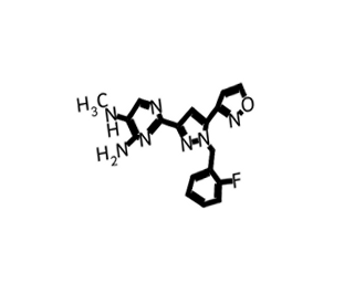 CNc1cnc(-c2cc(-c3ccon3)n(Cc3ccccc3F)n2)nc1N